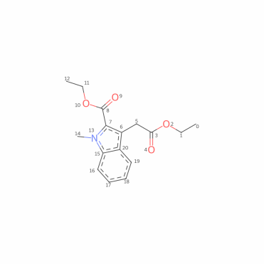 CCOC(=O)Cc1c(C(=O)OCC)n(C)c2ccccc12